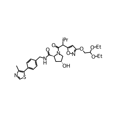 CCOC(COc1cc(C(C(=O)N2C[C@H](O)C[C@H]2C(=O)NCc2ccc(-c3scnc3C)cc2)C(C)C)on1)OCC